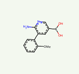 COc1ccccc1-c1cc(B(O)O)cnc1N